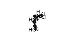 O=C(O)c1ccc(-c2ccc(NC(=O)[C@H]3CCCN3C(=O)Nc3ccc(Cl)c(Cl)c3)cc2)cc1